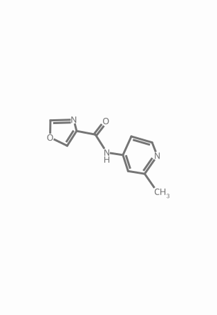 Cc1cc(NC(=O)c2cocn2)ccn1